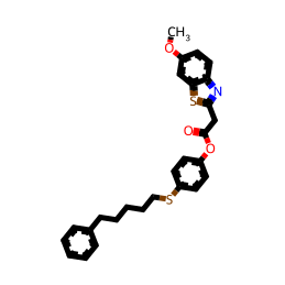 COc1ccc2nc(CC(=O)Oc3ccc(SCCCCCc4ccccc4)cc3)sc2c1